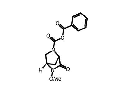 CON1C(=O)C2C[C@H]1CN2C(=O)OC(=O)c1ccccc1